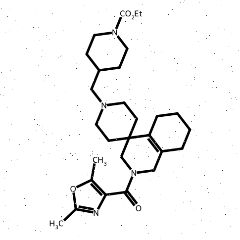 CCOC(=O)N1CCC(CN2CCC3(CC2)CN(C(=O)c2nc(C)oc2C)CC2=C3CCCC2)CC1